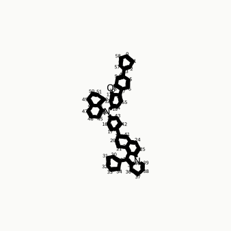 c1ccc(-c2ccc3c(c2)oc2cc(N(c4ccc(-c5ccc6c(ccc7c6c(-c6ccccc6)c6ccccn67)c5)cc4)c4cccc5ccccc45)ccc23)cc1